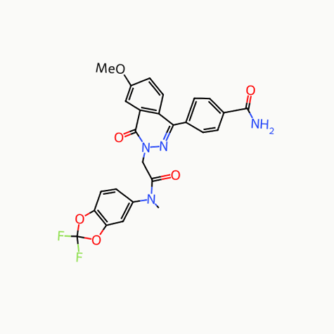 COc1ccc2c(-c3ccc(C(N)=O)cc3)nn(CC(=O)N(C)c3ccc4c(c3)OC(F)(F)O4)c(=O)c2c1